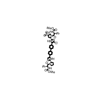 COC(=O)N[C@H](C(=O)N1CCC[C@H]1c1ncc(-c2ccc(-c3ccc(-c4[nH]c([C@@H]5C[C@H]([S+](C)[O-])CN5C(=O)[C@@H](NC(=O)OC)C(C)C)nc4Cl)cc3)cc2)[nH]1)C(C)C